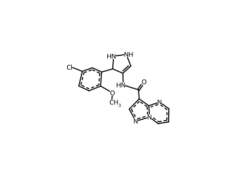 COc1ccc(Cl)cc1C1NNC=C1NC(=O)c1cnn2cccnc12